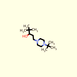 CC(C)(C)C(O)CCN1CCN(C(C)(C)C)CC1